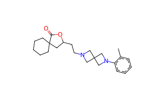 Cc1ccccc1N1CC2(CN(CCC3CC4(CCCCC4)C(=O)O3)C2)C1